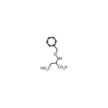 O=C(O)CC(NOCc1ccccc1)C(=O)O